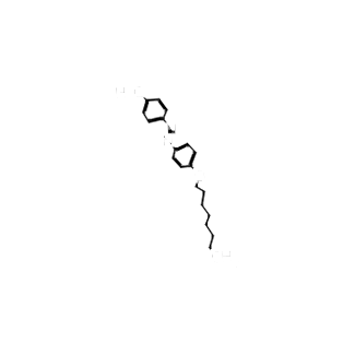 CCCCCCCCOc1ccc(N=Nc2ccc(C)cc2)cc1